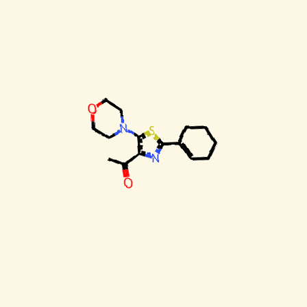 CC(=O)c1nc(C2=CCCCC2)sc1N1CCOCC1